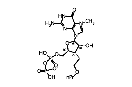 CCCOCC[C@H]1[C@@H](O)[C@H](n2c[n+](C)c3c(=O)[nH]c(N)nc32)O[C@@H]1COP(=O)(O)OP(=O)([O-])O